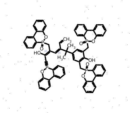 C=C/C(=C\C(CP1(=O)Oc2ccccc2-c2ccccc21)=C(\O)C#P1Oc2ccccc2-c2ccccc21)C(C)(C)c1cc(CP2(=O)Oc3ccccc3-c3ccccc32)c(O)c(CP2(=O)Oc3ccccc3-c3ccccc32)c1